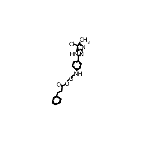 Cc1nn2nc(-c3ccc(NCOCOC(=O)CCc4ccccc4)cc3)[nH]c2c1Cl